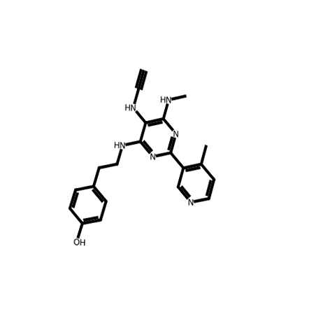 C#CNc1c(NC)nc(-c2cnccc2C)nc1NCCc1ccc(O)cc1